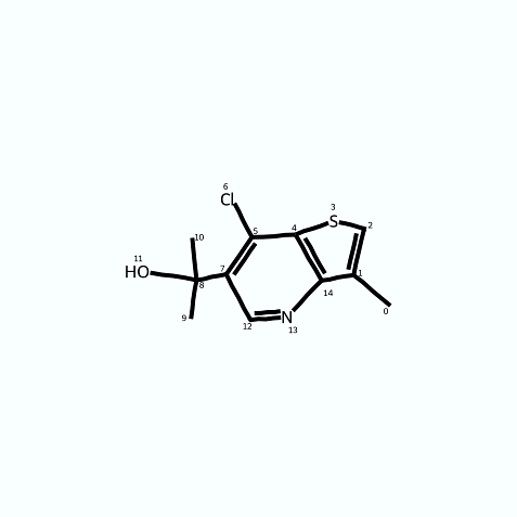 Cc1csc2c(Cl)c(C(C)(C)O)cnc12